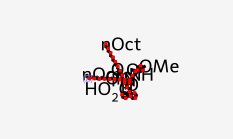 CCCCCCCCC=CCCCCCCCCOCCCN(CCCOCCCCCCCC/C=C\CCCCCCCC)C(=O)CC(C(=O)NCCNC(=O)c1ccc(OC)cc1)N(CC1c2ccccc2-c2ccccc21)C(=O)O